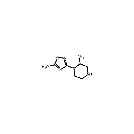 Cc1nc(N2CCNC[C@@H]2C)no1